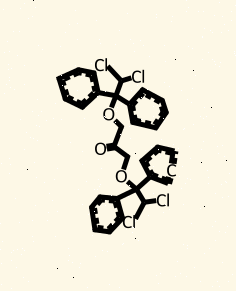 O=C(COC(c1ccccc1)(c1ccccc1)C(Cl)Cl)COC(c1ccccc1)(c1ccccc1)C(Cl)Cl